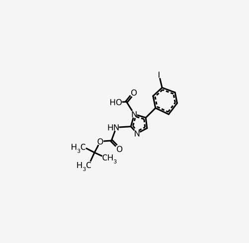 CC(C)(C)OC(=O)Nc1ncc(-c2cccc(I)c2)n1C(=O)O